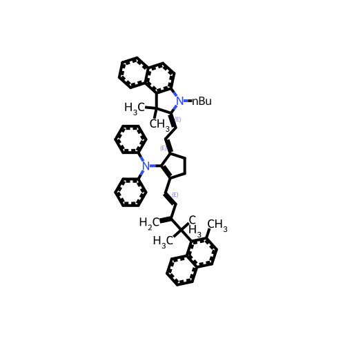 C=C(/C=C/C1=C(N(c2ccccc2)c2ccccc2)C(=C/C=C2/N(CCCC)c3ccc4ccccc4c3C2(C)C)/CC1)C(C)(C)c1c(C)ccc2ccccc12